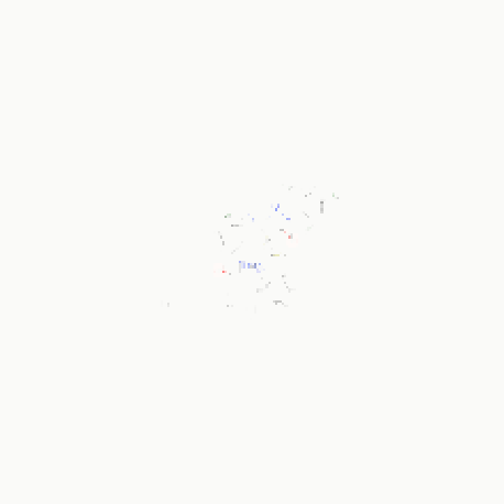 CCCCCCCCCCCCC(CC(=O)Nc1ccc(Cl)c(NC2=NN(c3c(Cl)cc(Cl)cc3Cl)C(=O)C2SC(=S)N(CC)c2ccccc2)c1)C(=O)O